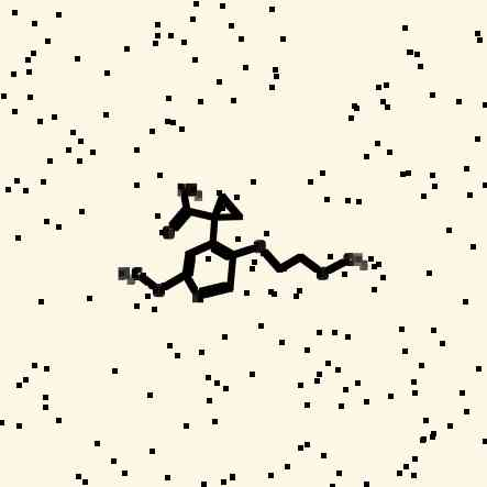 COCCOc1cnc(OC)cc1C1(C(N)=O)CC1